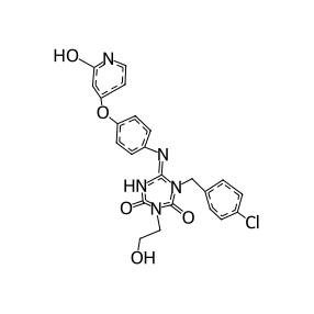 O=c1[nH]/c(=N\c2ccc(Oc3ccnc(O)c3)cc2)n(Cc2ccc(Cl)cc2)c(=O)n1CCO